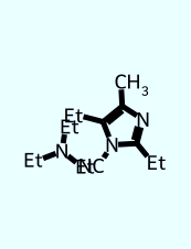 CCN(CC)CC.CCc1nc(C)c(CC)n1C#N